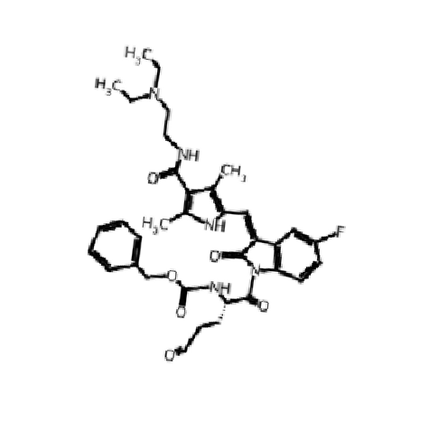 CCN(CC)CCNC(=O)c1c(C)[nH]c(/C=C2\C(=O)N(C(=O)[C@H](CCC=O)NC(=O)OCc3ccccc3)c3ccc(F)cc32)c1C